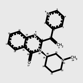 C=C(c1cccnc1)c1nc2ccccc2c(=O)n1[C@@H]1CCCN(C)C1